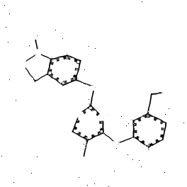 Cc1cnc(Nc2ccc3c(c2)COB3O)nc1Nc1cccc(CO)c1